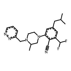 CC(C)Cc1cc(C(F)F)c(C#N)c(N2CCN(Cc3cccnn3)C(C)C2)c1